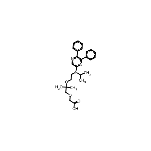 CC(C)N(CCOC(C)(C)COCC(=O)O)c1cnc(-c2ccccc2)c(-c2ccccc2)n1